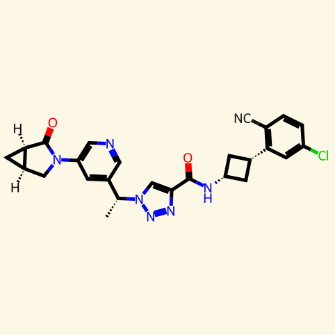 C[C@H](c1cncc(N2C[C@H]3C[C@H]3C2=O)c1)n1cc(C(=O)N[C@H]2C[C@@H](c3cc(Cl)ccc3C#N)C2)nn1